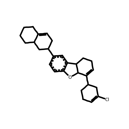 ClC1=CCCC(C2=CCCC3c4cc(C5CC=C6CCCCC6C5)ccc4OC23)C1